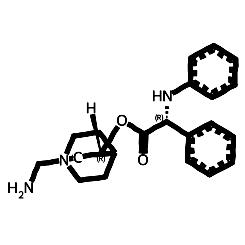 NC[N+]12CCC(CC1)[C@@H](OC(=O)[C@H](Nc1ccccc1)c1ccccc1)C2